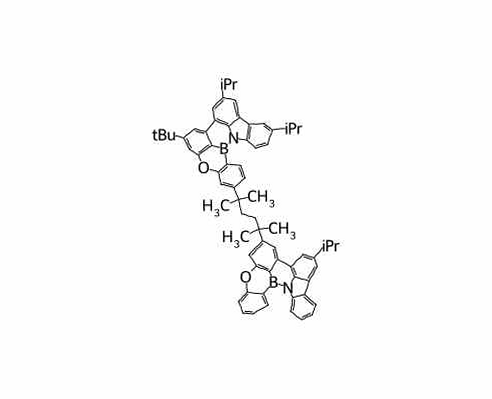 CC(C)c1ccc2c(c1)c1cc(C(C)C)cc3c1n2B1c2ccc(C(C)(C)CCC(C)(C)c4cc5c6c(c4)-c4cc(C(C)C)cc7c8ccccc8n(c47)B6c4ccccc4O5)cc2Oc2cc(C(C)(C)C)cc-3c21